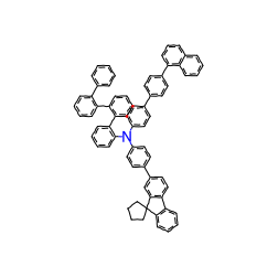 c1ccc(-c2ccccc2-c2ccccc2-c2ccccc2N(c2ccc(-c3ccc(-c4cccc5ccccc45)cc3)cc2)c2ccc(-c3ccc4c(c3)C3(CCCC3)c3ccccc3-4)cc2)cc1